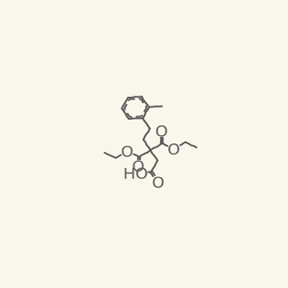 CCOC(=O)C(CCc1ccccc1C)(CC(=O)O)C(=O)OCC